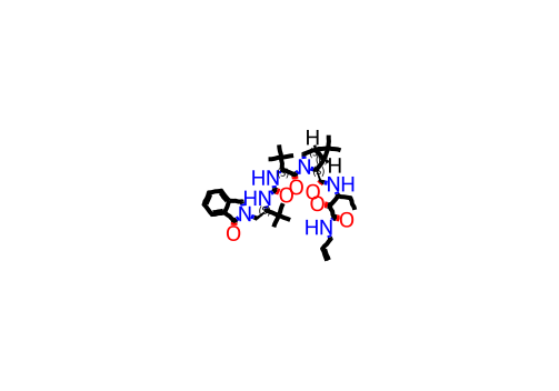 C=CCNC(=O)C(=O)C(CC)NC(=O)[C@@H]1[C@@H]2[C@H](CN1C(=O)[C@@H](NC(=O)N[C@H](CN1Cc3ccccc3C1=O)C(C)(C)C)C(C)(C)C)C2(C)C